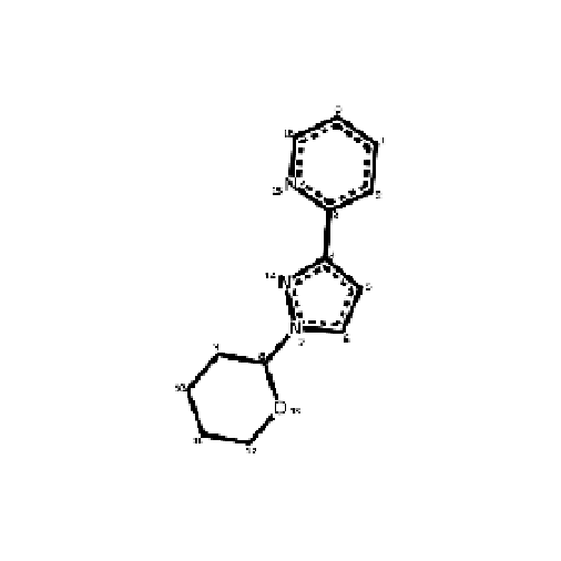 c1ccc(-c2ccn(C3CCCCO3)n2)nc1